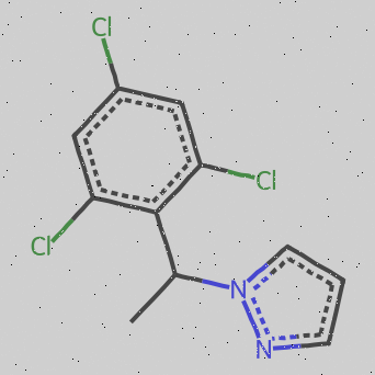 CC(c1c(Cl)cc(Cl)cc1Cl)n1cccn1